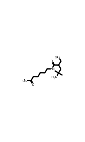 CC(C)(C)CC(CC(C)(C)N)C(=O)NCCCCCC(=O)C(C)(C)C